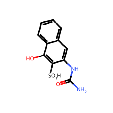 NC(=O)Nc1cc2ccccc2c(O)c1S(=O)(=O)O